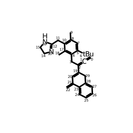 C=C=C(Cc1c(C(C)(C)C)cc(C)c(CC2=NCCN2)c1C)C1=CC(=C)c2ccccc2C1